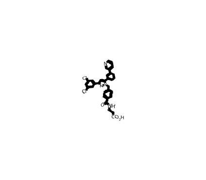 O=C(O)CCNC(=O)c1ccc(Cn2nc(-c3cc(Cl)cc(Cl)c3)cc2-c2cccc(-c3cccnc3)c2)cc1